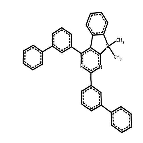 C[Si]1(C)c2ccccc2-c2c(-c3cccc(-c4ccccc4)c3)nc(-c3cccc(-c4ccccc4)c3)nc21